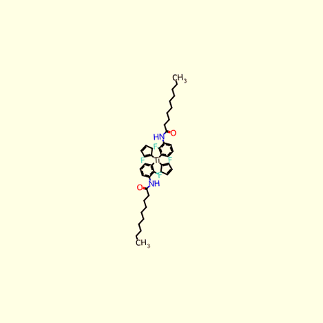 CCCCCCCCCC(=O)Nc1ccc(F)[c]([Ti]([C]2=CC=CC2)([C]2=CC=CC2)[c]2c(F)ccc(NC(=O)CCCCCCCCC)c2F)c1F